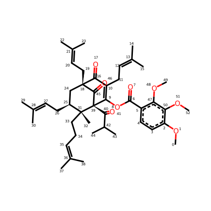 COc1ccc(C(=O)OC2=C(CC=C(C)C)C(=O)[C@@]3(CC=C(C)C)C[C@H](CC=C(C)C)[C@@](C)(CCC=C(C)C)[C@]2(C(=O)C(C)C)C3=O)c(OC)c1OC